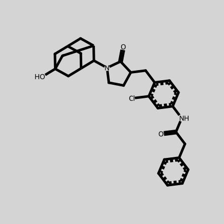 O=C(Cc1ccccc1)Nc1ccc(CC2CCN(C3C4CC5CC3CC(O)(C5)C4)C2=O)c(Cl)c1